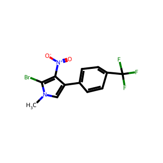 Cn1cc(-c2ccc(C(F)(F)F)cc2)c([N+](=O)[O-])c1Br